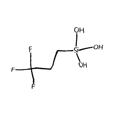 O[Si](O)(O)CCC(F)(F)F